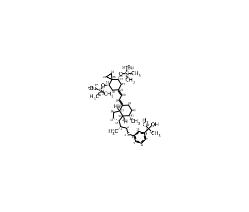 C[C@@H](CSc1cccc(C(C)(C)O)c1)[C@@H]1CC[C@@H]2/C(=C/C=C3C[C@@H](O[Si](C)(C)C(C)(C)C)C4(CC4)[C@H](O[Si](C)(C)C(C)(C)C)C3)CC[C@H](C)[C@H]12